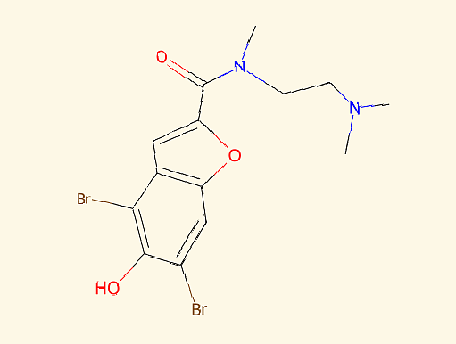 CN(C)CCN(C)C(=O)c1cc2c(Br)c(O)c(Br)cc2o1